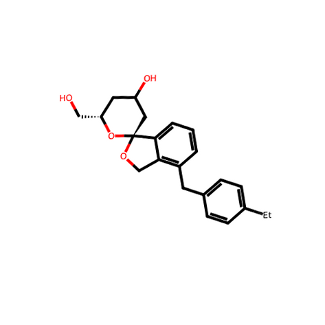 CCc1ccc(Cc2cccc3c2CO[C@@]32CC(O)C[C@@H](CO)O2)cc1